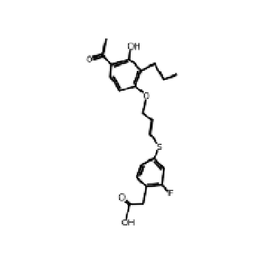 CCCc1c(OCCCSc2ccc(CC(=O)O)c(F)c2)ccc(C(C)=O)c1O